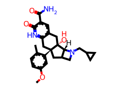 COc1ccc(C)c([C@@]23Cc4[nH]c(=O)c(C(N)=O)cc4C[C@@]2(O)[C@H]2C(CN2CC2CC2)C3)c1